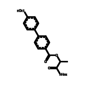 CCCCCCCCc1ccc(-c2ccc(C(=O)OC(C)C(=O)CCCCCC)cc2)cc1